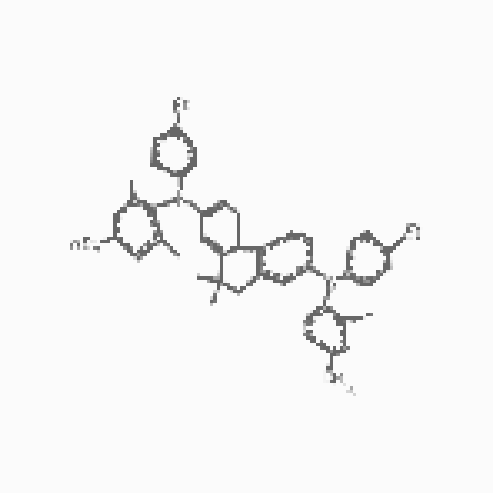 Bc1ccc(N(c2ccc(CC)cc2)c2ccc3c(c2)CC(C)(C)C2=CC(N(c4ccc(CC)cc4)c4c(C)cc(CCCC)cc4C)=CCC23)c(C)c1